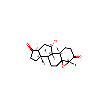 C[C@]12CCC(=O)[C@@H]3OC31CC[C@H]1[C@@H]3CCC(=O)[C@@]3(C)C[C@H](O)[C@@]12F